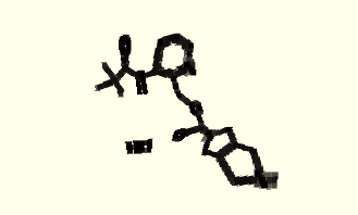 CC(C)(C)C(=O)Nc1cccnc1COC(=O)N1CC2=C(CNC2)C1.Cl